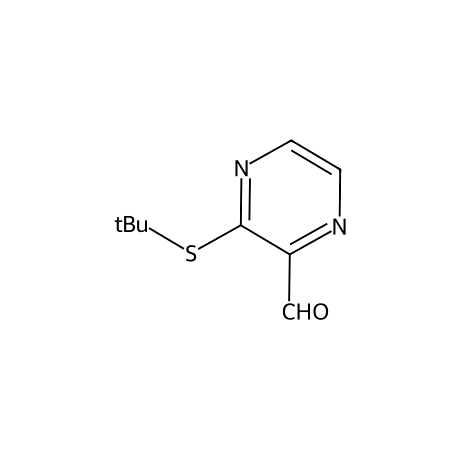 CC(C)(C)Sc1nccnc1C=O